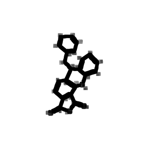 O=C1OC(=O)c2c1ccc1c2Oc2ccccc2C1Cc1ccccc1